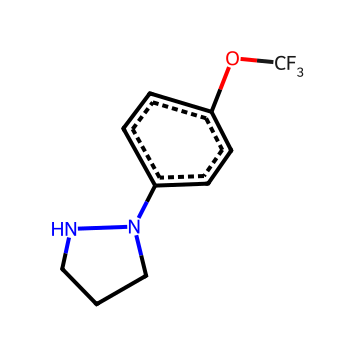 FC(F)(F)Oc1ccc(N2CCCN2)cc1